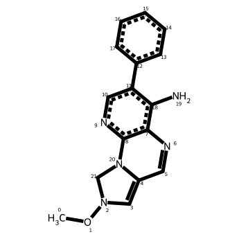 CON1C=C2C=Nc3c(ncc(-c4ccccc4)c3N)N2C1